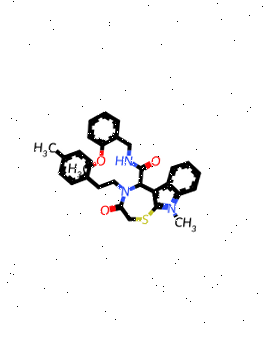 COc1ccccc1CNC(=O)C1c2c(n(C)c3ccccc23)SCC(=O)N1CCc1ccc(C)cc1